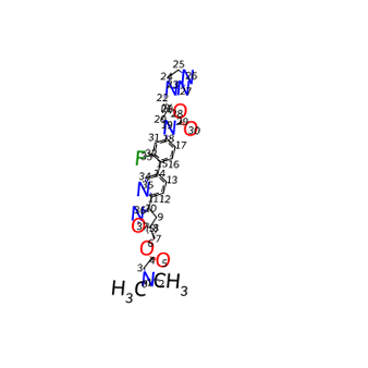 CN(C)CC(=O)OC[C@@H]1CC(c2ccc(-c3ccc(N4C[C@H](CN5CCN=N5)OC4=O)cc3F)cn2)=NO1